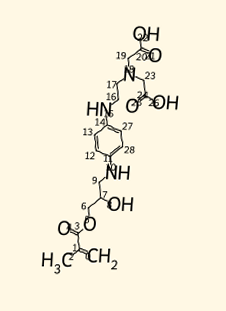 C=C(C)C(=O)OCC(O)CNc1ccc(NCCN(CC(=O)O)CC(=O)O)cc1